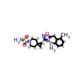 Cc1cccc(C)c1Cc1nc([C@@H]2CC23CCN(S(N)(=O)=O)CC3)no1